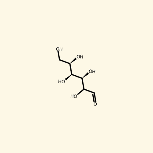 O=CC(O)[C@H](O)[C@@H](O)[C@H](O)CO